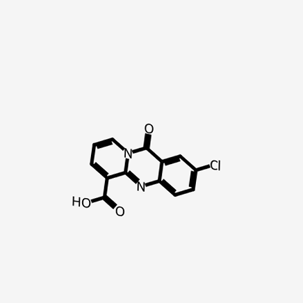 O=C(O)c1cccn2c(=O)c3cc(Cl)ccc3nc12